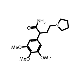 COc1cc(C(CCN2CCCC2)C(N)=O)cc(OC)c1OC